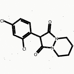 O=C1C(c2ccc(Cl)cc2Cl)C(=O)N2CCCCN12